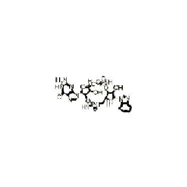 Nc1nc2c(ncn2[C@@H]2O[C@@H]3COP(=O)(S)OC4C(O)[C@H](n5cnc6ccccc65)O[C@@H]4COP(=O)(S)OC2C3O)c(=O)[nH]1